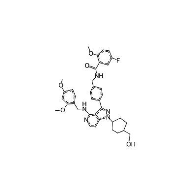 COc1ccc(CNc2nccc3c2c(-c2ccc(CNC(=O)c4cc(F)ccc4OC)cc2)nn3C2CCC(CO)CC2)c(OC)c1